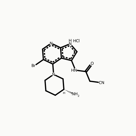 Cl.N#CCC(=O)Nc1c[nH]c2ncc(Br)c(N3CCC[C@@H](N)C3)c12